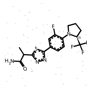 CC(C(N)=O)c1nnc(-c2ccc(N3CCC[C@H]3C(F)(F)F)c(F)c2)s1